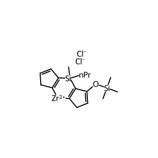 CCC[Si]1(C)C2=[C](CC=C2)[Zr+2][C]2=C1C(O[Si](C)(C)C)=CC2.[Cl-].[Cl-]